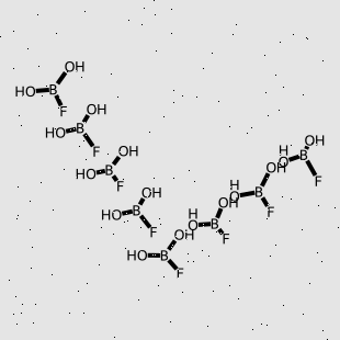 OB(O)F.OB(O)F.OB(O)F.OB(O)F.OB(O)F.OB(O)F.OB(O)F.OB(O)F